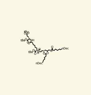 CCCCCCCCCCCCCCCC(=O)OCC(CSCCS(=O)(=O)N(CCCCCC(=O)N[C@@H](CCC(=O)OC(C)(C)C)C(=O)OC(C)(C)C)C(=O)OC(C)(C)C)OC(=O)CCCCCCCCCCCCCCC